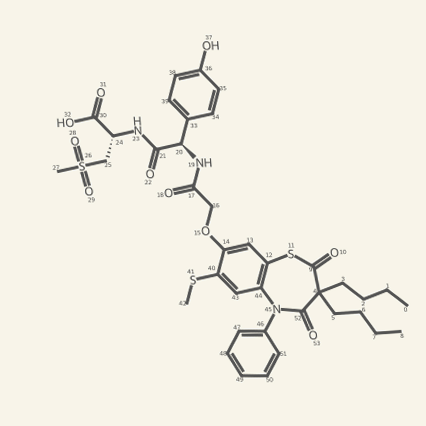 CCCCC1(CCCC)C(=O)Sc2cc(OCC(=O)N[C@@H](C(=O)N[C@H](CS(C)(=O)=O)C(=O)O)c3ccc(O)cc3)c(SC)cc2N(c2ccccc2)C1=O